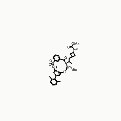 COC(=O)N(C)[C@H]1C[C@](C)(CC(C)N2C(=O)c3cccc(c3)S(=O)(=O)Nc3nc(cc(-c4c(C)cccc4C)n3)OC[C@H]2CC(C)(C)C)C1